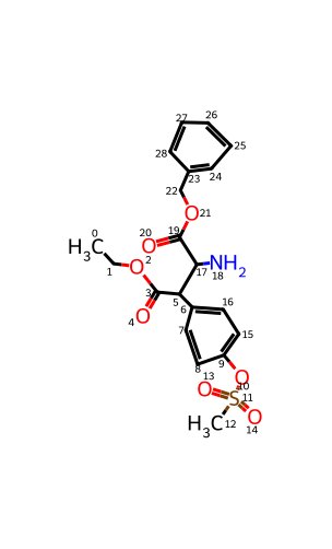 CCOC(=O)C(c1ccc(OS(C)(=O)=O)cc1)C(N)C(=O)OCc1ccccc1